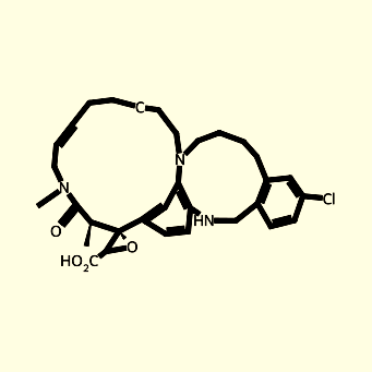 C[C@H]1C(=O)N(C)C/C=C\CCCCCN2CCCCc3cc(Cl)ccc3CNc3ccc(cc32)[C@]12OC2C(=O)O